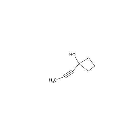 CC#CC1(O)CCC1